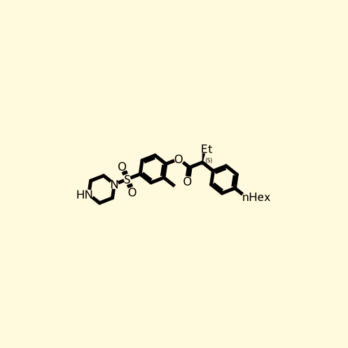 CCCCCCc1ccc([C@H](CC)C(=O)Oc2ccc(S(=O)(=O)N3CCNCC3)cc2C)cc1